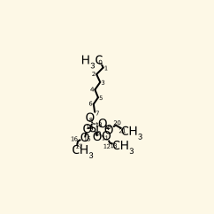 CCCCCCCCO[Si](OOCC)(OOCC)OOCC